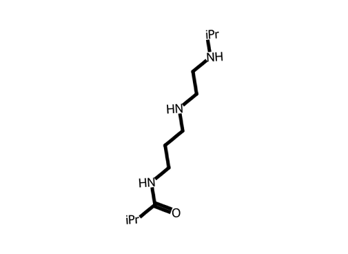 CC(C)NCCNCCCNC(=O)C(C)C